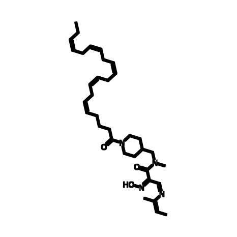 C\C=C(C)/N=C\C(=N\O)C(=O)N(C)CC1CCN(C(=O)CCC/C=C\C/C=C\C/C=C\C/C=C\C/C=C\CC)CC1